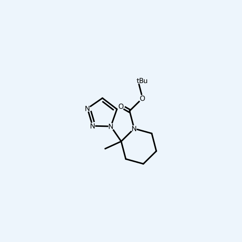 CC(C)(C)OC(=O)N1CCCCC1(C)n1ccnn1